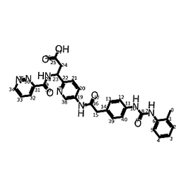 Cc1ccccc1NC(=O)Nc1ccc(CC(=O)Nc2ccc(C(CC(=O)O)NC(=O)c3cccnn3)nc2)cc1